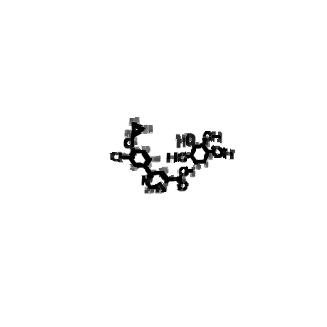 O=C(OC[C@H]1CC(O)[C@H](O)[C@@H](O)[C@@H]1O)c1cc(-c2ccc(OC3CC3)c(Cl)c2)ncn1